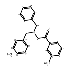 CC(=O)Oc1cccc(C(=O)CN(Cc2ccccc2)Cc2ccccc2)c1.Cl